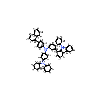 c1ccc(-n2c3ccccc3c3cccc(-c4cccc(N(c5ccc(-c6cccc7ccccc67)cc5)c5ccc(-n6c7ccccc7c7ccccc76)cc5)c4)c32)cc1